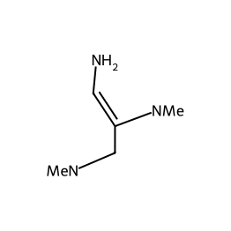 CNC/C(=C/N)NC